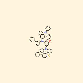 c1ccc(-c2cccc(N(c3ccccc3)c3cc(N(c4ccccc4)c4cccc5sc6ccc(-c7ccccc7)cc6c45)cc4oc5ccc(N(c6ccccc6)c6ccccc6)cc5c34)c2)cc1